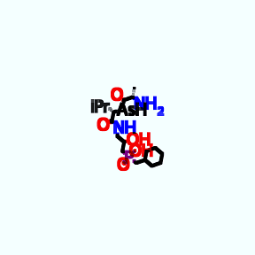 CC(C)[C@H]([AsH]C(=O)[C@H](C)N)C(=O)NC[C@@H](O)CP(=O)(O)CC1CCCCC1